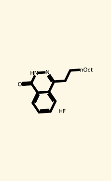 CCCCCCCCCCc1n[nH]c(=O)c2ccccc12.F